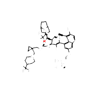 C#Cc1c(F)ccc2cc(OCOP(=O)(O)O)cc(-c3ncc4c(N5CC6CCC(C5)N6C(=O)C(F)(F)F)nc(OCC5(CN6CCC(C(F)(F)F)CC6)CC5)nc4c3F)c12